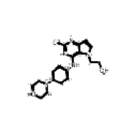 OCCn1ccc2nc(Cl)nc(N[C@H]3CC[C@H](N4CCOCC4)CC3)c21